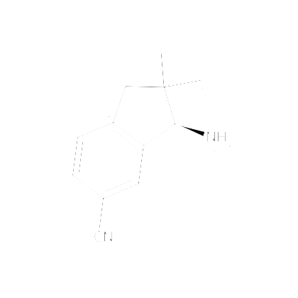 CC1(C)Cc2ccc(C#N)cc2[C@@H]1N